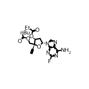 C#C[C@]1(COC(=O)CCCC)O[C@@H](n2cnc3c(N)nc(F)nc32)C[C@@H]1OC(=O)CC